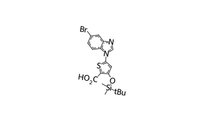 CC(C)(C)[Si](C)(C)Oc1cc(-n2cnc3cc(Br)ccc32)sc1C(=O)O